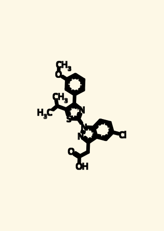 COc1cccc(-c2nc(-n3nc(CC(=O)O)c4cc(Cl)ccc43)sc2C(C)C)c1